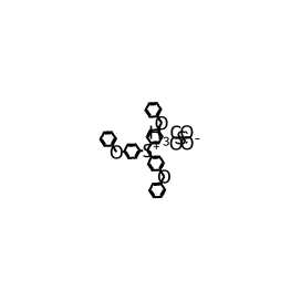 CS(=O)(=O)[O-].c1ccc(Oc2ccc([S+](c3ccc(Oc4ccccc4)cc3)c3ccc(Oc4ccccc4)cc3)cc2)cc1